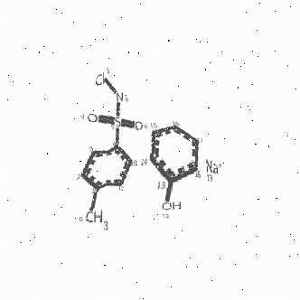 Cc1ccc(S(=O)(=O)[N-]Cl)cc1.Oc1ccccc1.[Na+]